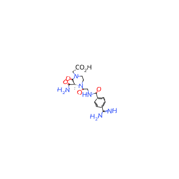 C[C@]1(C(N)=O)C(=O)N(CC(=O)O)CCN1C(=O)CNC(=O)c1ccc(C(=N)N)cc1